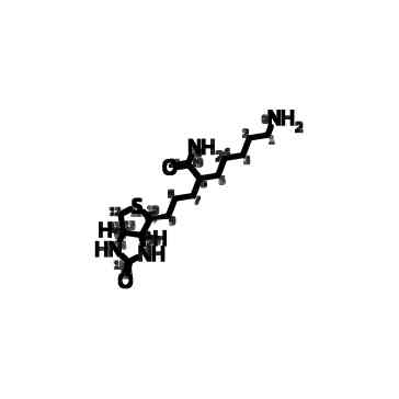 NCCCCCC(CCC[C@@H]1SC[C@@H]2NC(=O)N[C@@H]21)C(N)=O